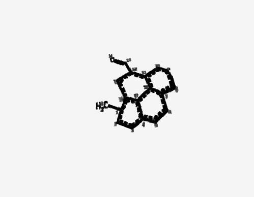 Cc1ccc2ccc3cccc4c(C=O)cc1c2c34